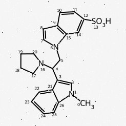 Cn1cc(C(Cn2ccc3ccc(S(=O)(=O)O)cc32)N2CCCC2)c2ccccc21